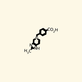 Cc1nc2c([nH]1)C=CN(Cc1ccc(C(=O)O)cc1)C2